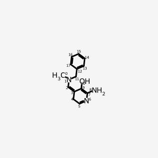 CN(C=C1CC=NC(N)=C1O)Cc1ccccc1